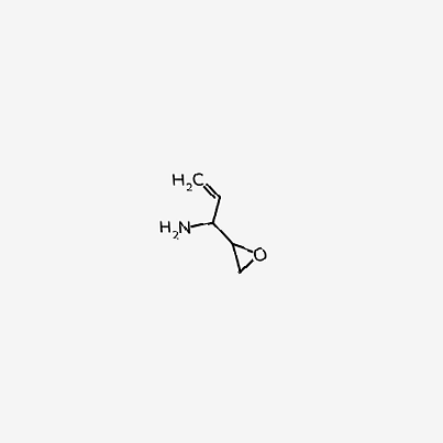 C=CC(N)C1CO1